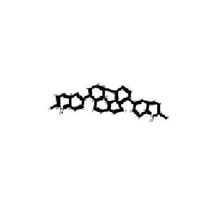 Cc1ccc2cc(-c3ccc4c5c3ccc3ccc6c(-c7ccc8nc(C)ccc8c7)ccc-4c6c35)ccc2n1